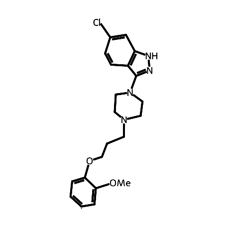 COc1c[c]ccc1OCCCN1CCN(c2n[nH]c3cc(Cl)ccc23)CC1